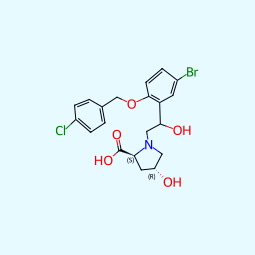 O=C(O)[C@@H]1C[C@@H](O)CN1CC(O)c1cc(Br)ccc1OCc1ccc(Cl)cc1